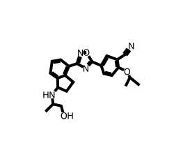 CC(CO)NC1CCc2c(-c3noc(-c4ccc(OC(C)C)c(C#N)c4)n3)cccc21